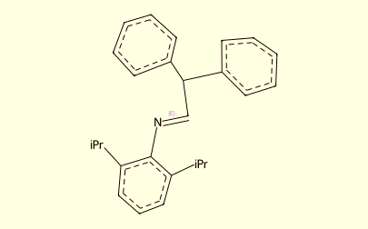 CC(C)c1cccc(C(C)C)c1/N=C/C(c1ccccc1)c1ccccc1